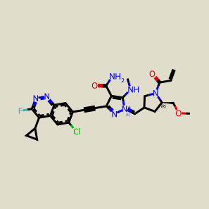 C=CC(=O)N1CC(/C=[N+]2/N=C(C#Cc3cc4nnc(F)c(C5CC5)c4cc3Cl)C(C(N)=O)=C2NC)C[C@@H]1COC